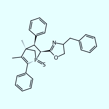 CC1=C(c2ccccc2)[P@]2(=S)C[C@]1(C)[C@@H](c1ccccc1)[C@H]2C1=NC(Cc2ccccc2)CO1